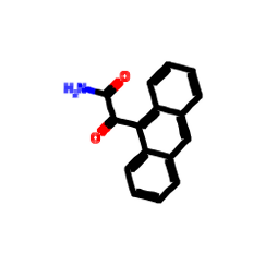 NC(=O)C(=O)c1c2ccccc2cc2ccccc12